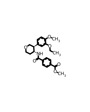 CCOc1cc([C@@H]2COCC[C@H]2NC(=O)c2ccc(C(=O)OC)cc2)ccc1OC